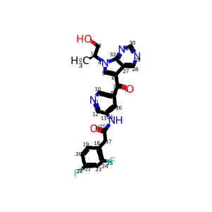 C[C@@H](CO)n1cc(C(=O)c2cncc(NC(=O)Cc3ccc(F)cc3F)c2)c2cncnc21